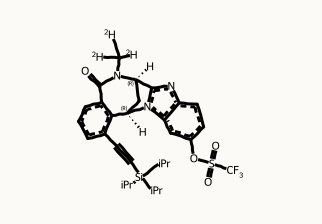 [2H]C([2H])([2H])N1C(=O)c2cccc(C#C[Si](C(C)C)(C(C)C)C(C)C)c2[C@H]2C[C@@H]1c1nc3ccc(OS(=O)(=O)C(F)(F)F)cc3n12